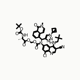 C[C@H](NC(=O)OC(C)(C)C)C(=O)OCOC(=O)N(c1cc(Cl)c2ncc(C#N)c(NCC(C)(C)C)c2c1)[C@H](c1cn(C23CC(C2)C3)nn1)c1cccc2c(=O)n(C)ccc12